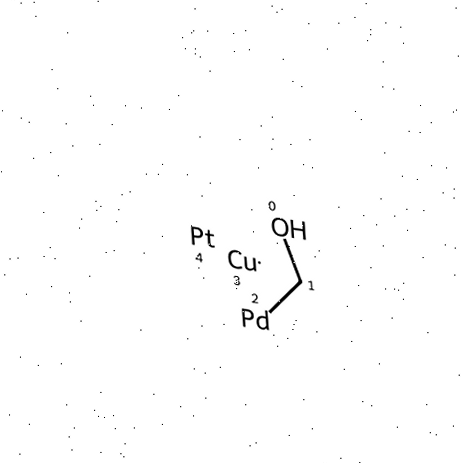 O[CH2][Pd].[Cu].[Pt]